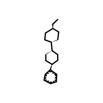 CC[C@H]1CC[C@H]([C@H]2CC[C@H](c3ccccc3)CC2)CC1